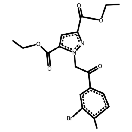 CCOC(=O)c1cc(C(=O)OCC)n(CC(=O)c2ccc(C)c(Br)c2)n1